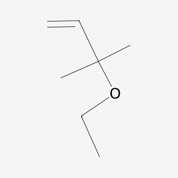 C=CC(C)(C)OCC